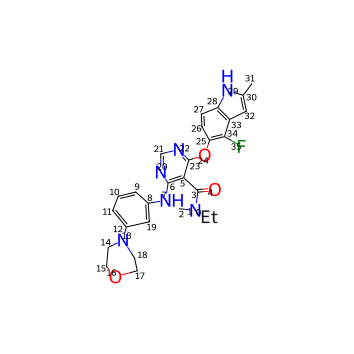 CCN(C)C(=O)c1c(Nc2cccc(N3CCOCC3)c2)ncnc1Oc1ccc2[nH]c(C)cc2c1F